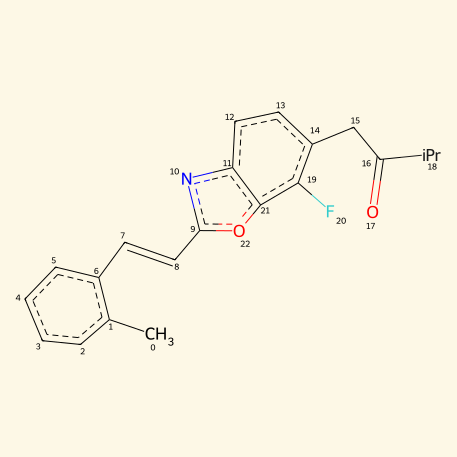 Cc1ccccc1/C=C/c1nc2ccc(CC(=O)C(C)C)c(F)c2o1